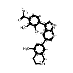 Cc1cc(-c2cnc3[nH]cc(-c4ccc(C(N)=O)c(C)c4C)c3c2)cc2c1CCNC2